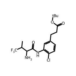 CC(C(N)C(=O)Nc1cc(CCC(=O)OC(C)(C)C)ccc1Cl)C(F)(F)F